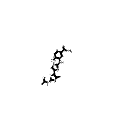 CC(=O)Nc1nc(C)c(-c2csc(Nc3cc(C(N)=O)ccc3Cl)n2)s1